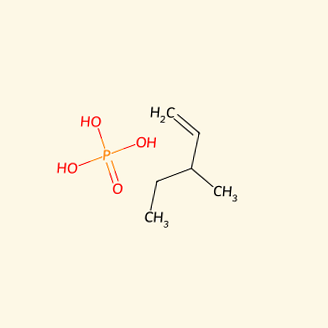 C=CC(C)CC.O=P(O)(O)O